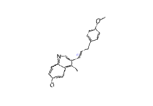 COc1ccc(C/C=C/c2cnc3ccc(Cl)cc3c2C)cc1